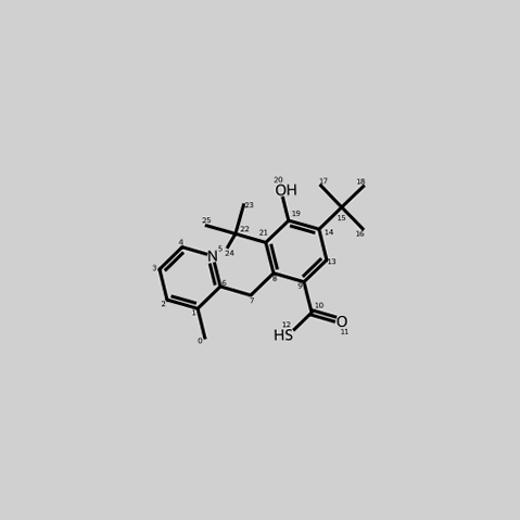 Cc1cccnc1Cc1c(C(=O)S)cc(C(C)(C)C)c(O)c1C(C)(C)C